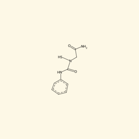 NC(=O)CN(S)C(=O)Nc1ccccc1